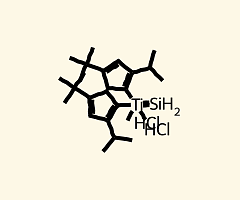 CC(C)C1=[C]([Ti]([CH3])([CH3])(=[SiH2])[C]2=C(C(C)C)C=C(C(C)(C)C)C2)CC(C(C)(C)C)=C1.Cl.Cl